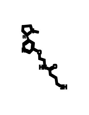 CN1CCC[C@H]1c1cncc(OCCNC(=O)CCCS)c1